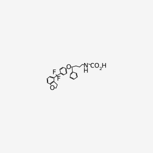 O=C(O)CNCCCC(Oc1ccc(C(F)(F)c2cccc3c2CCO3)cc1)c1ccccc1